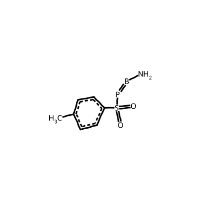 Cc1ccc(S(=O)(=O)P=BN)cc1